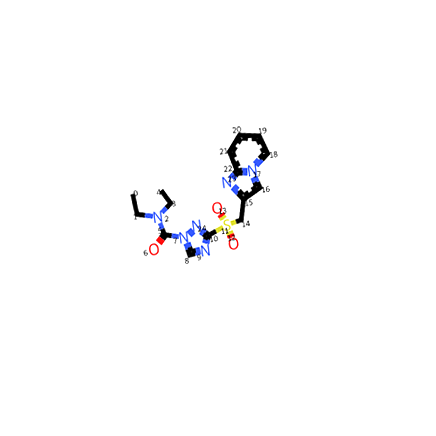 CCN(CC)C(=O)n1cnc(S(=O)(=O)Cc2cn3ccccc3n2)n1